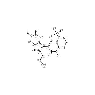 CC(c1ccnc(C(F)(F)F)c1)N1C[C@@H](CO)n2nc3c(c2C1=O)CN[C@H](C)C3